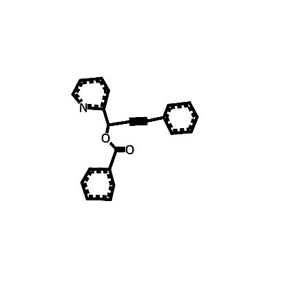 O=C(OC(C#Cc1ccccc1)c1ccccn1)c1ccccc1